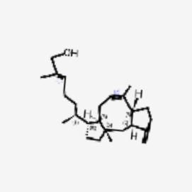 C=C1CC[C@H]2/C(C)=C\C[C@@H]3[C@@H]([C@@H](C)CC/C=C(\C)CO)CC[C@@]3(C)C[C@H]12